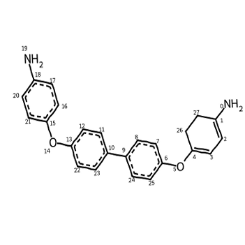 NC1=CC=C(Oc2ccc(-c3ccc(Oc4ccc(N)cc4)cc3)cc2)CC1